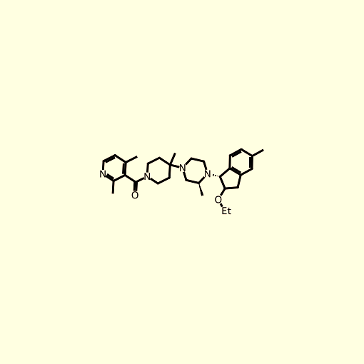 CCOC1Cc2cc(C)ccc2[C@H]1N1CCN(C2(C)CCN(C(=O)c3c(C)ccnc3C)CC2)C[C@@H]1C